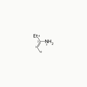 CC=C(N)CC